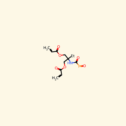 C=CC(=O)OCC(CC)(COC(=O)C=C)NC(=O)P=O